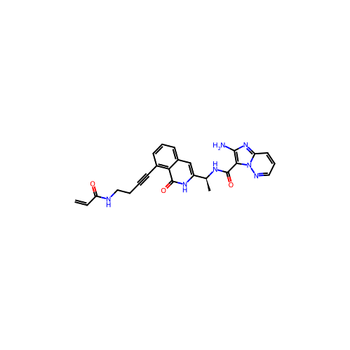 C=CC(=O)NCCC#Cc1cccc2cc([C@H](C)NC(=O)c3c(N)nc4cccnn34)[nH]c(=O)c12